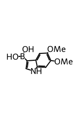 COc1cc2[nH]cc(B(O)O)c2cc1OC